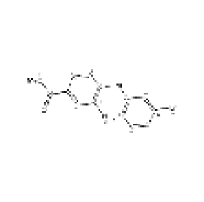 COC(=O)c1ccc(Nc2cccc(Br)c2)c(N)c1